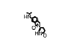 CC(C)Nc1ccc2c(c1)C(=O)N(C1=CNC(=O)CC1)C2